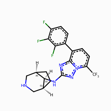 Fc1ccc(-c2ccc(C(F)(F)F)n3nc(N[C@@H]4[C@@H]5CC[C@H]4CNC5)nc23)c(F)c1F